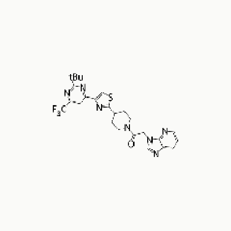 CC(C)(C)c1nc(-c2csc(C3CCN(C(=O)Cn4cnc5cccnc54)CC3)n2)cc(C(F)(F)F)n1